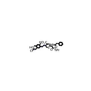 C=c1cc(C)/c(=C\C=C2/CSC(C(NC(=O)Cc3ccccc3)C(=O)OCCC)N=C2C(=O)O)cc1/C=C(\O)Cl